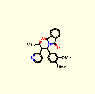 COC(=O)C(c1cccnc1)C(c1ccc(OC)c(OC)c1)N1C(=O)c2ccccc2C1=O